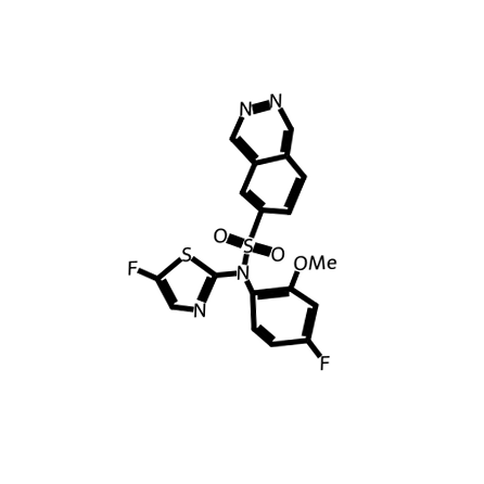 COc1cc(F)ccc1N(c1ncc(F)s1)S(=O)(=O)c1ccc2cnncc2c1